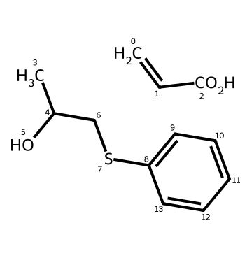 C=CC(=O)O.CC(O)CSc1ccccc1